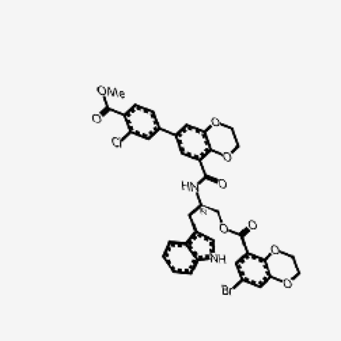 COC(=O)c1ccc(-c2cc3c(c(C(=O)N[C@@H](COC(=O)c4cc(Br)cc5c4OCCO5)Cc4c[nH]c5ccccc45)c2)OCCO3)cc1Cl